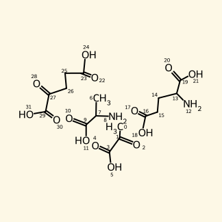 CC(=O)C(=O)O.CC(N)C(=O)O.NC(CCC(=O)O)C(=O)O.O=C(O)CCC(=O)C(=O)O